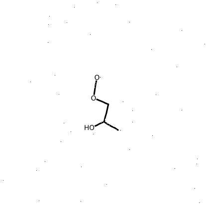 [CH2]C(O)CO[O]